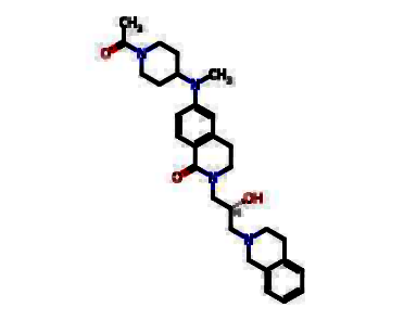 CC(=O)N1CCC(N(C)c2ccc3c(c2)CCN(C[C@H](O)CN2CCc4ccccc4C2)C3=O)CC1